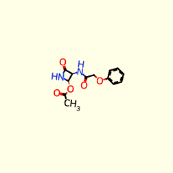 CC(=O)O[C@@H]1NC(=O)[C@H]1NC(=O)COc1ccccc1